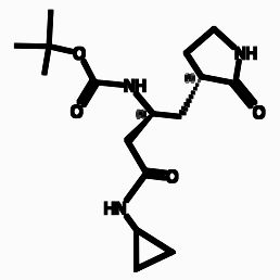 CC(C)(C)OC(=O)N[C@H](CC(=O)NC1CC1)C[C@@H]1CCNC1=O